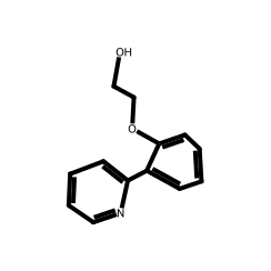 OCCOc1ccccc1-c1ccccn1